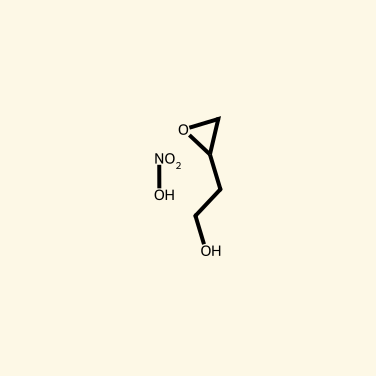 O=[N+]([O-])O.OCCC1CO1